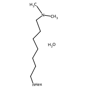 CCCCCCCCCCCCCN(C)C.O